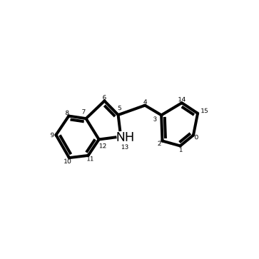 c1ccc(Cc2cc3ccccc3[nH]2)cc1